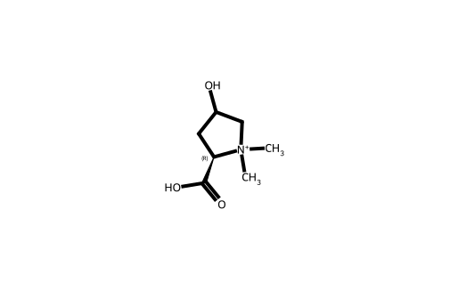 C[N+]1(C)CC(O)C[C@@H]1C(=O)O